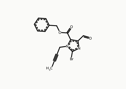 CC#CCn1c(Br)nc(C=O)c1C(=O)OCc1ccccc1